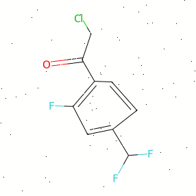 O=C(CCl)c1ccc(C(F)F)cc1F